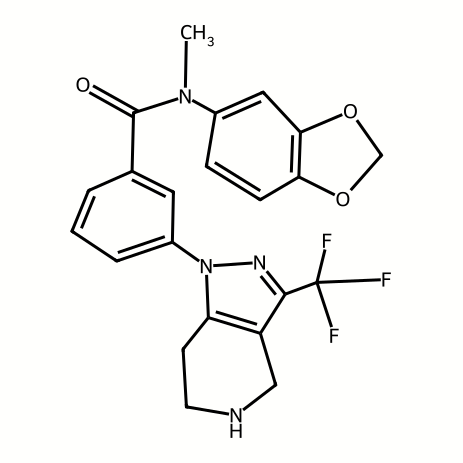 CN(C(=O)c1cccc(-n2nc(C(F)(F)F)c3c2CCNC3)c1)c1ccc2c(c1)OCO2